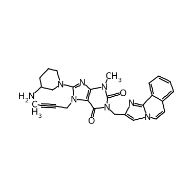 CC#CCn1c(N2CCCC(N)C2)nc2c1c(=O)n(Cc1cn3ccc4ccccc4c3n1)c(=O)n2C